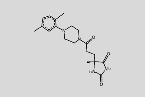 Cc1ccc(C)c(N2CCN(C(=O)CC[C@@]3(C)NC(=O)NC3=O)CC2)c1